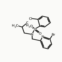 CC(C)CN(Cc1cccc(Br)n1)S(=O)(=O)c1ccccc1Cl